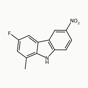 Cc1cc(F)cc2c1[nH]c1ccc([N+](=O)[O-])cc12